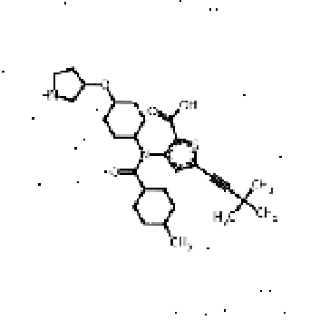 CC1CCC(C(=O)N(c2cc(C#CC(C)(C)C)sc2C(=O)O)C2CCC(OC3CCNC3)CC2)CC1